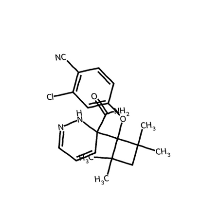 CC1(C)CC(C)(C)C1(Oc1ccc(C#N)c(Cl)c1)C1(C(N)=O)C=CC=NN1